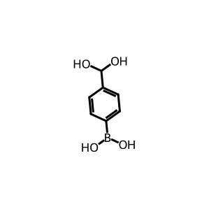 OB(O)c1ccc(C(O)O)cc1